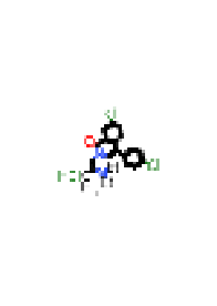 CCN(CC)C(C)Cn1cc(-c2ccc(Cl)cc2)c2ccc(Cl)cc2c1=O.Cl